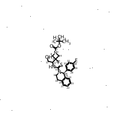 CC(C)(C)OC(=O)N1CC(F)(C(CO)NC(=S)N2CCc3ccccc3[C@@H]2c2ccc(F)cc2)C1